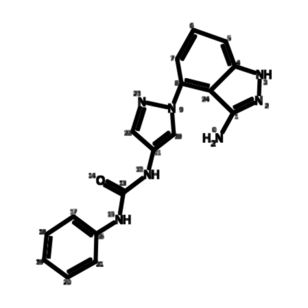 Nc1n[nH]c2cccc(-n3cc(NC(=O)Nc4ccccc4)cn3)c12